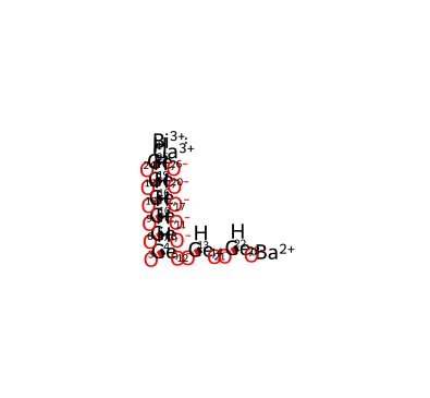 [Ba+2].[Bi+3].[Ga+3].[O]=[GeH][O-].[O]=[GeH][O-].[O]=[GeH][O-].[O]=[GeH][O-].[O]=[GeH][O-].[O]=[GeH][O-].[O]=[GeH][O-].[O]=[GeH][O-]